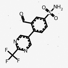 NS(=O)(=O)c1ccc(-c2cnc(C(F)(F)F)nc2)c(C=O)c1